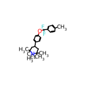 CCN1C(C)(C)CC(c2ccc(OC(F)(F)c3ccc(C)cc3)cc2)CC1(C)C